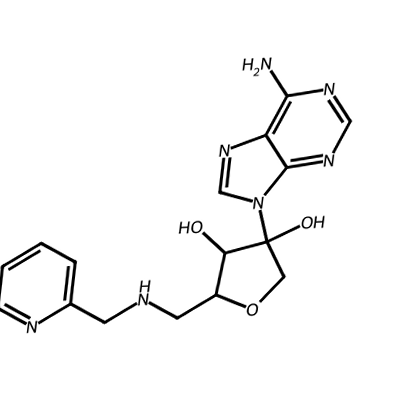 Nc1ncnc2c1ncn2C1(O)COC(CNCc2ccccn2)C1O